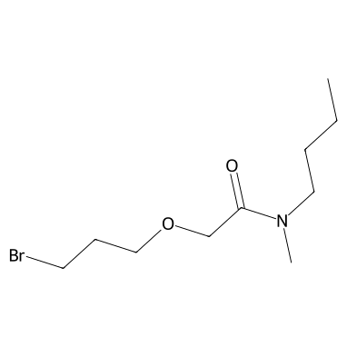 CCCCN(C)C(=O)COCCCBr